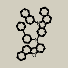 c1ccc(-c2cccc(N(c3ccc4c5ccc6ccccc6c5n(-c5ccc6ccccc6c5)c4c3)c3cccc4oc5c6ccccc6ccc5c34)c2)cc1